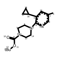 Cc1cnc(N2CCN(C(=O)OC(C)(C)C)CC2)c(C2CC2)c1